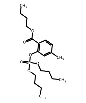 CCCCOC(=O)c1ccc(C)cc1OP(=O)(OCCCC)OCCCC